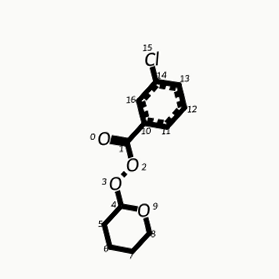 O=C(OOC1CCCCO1)c1cccc(Cl)c1